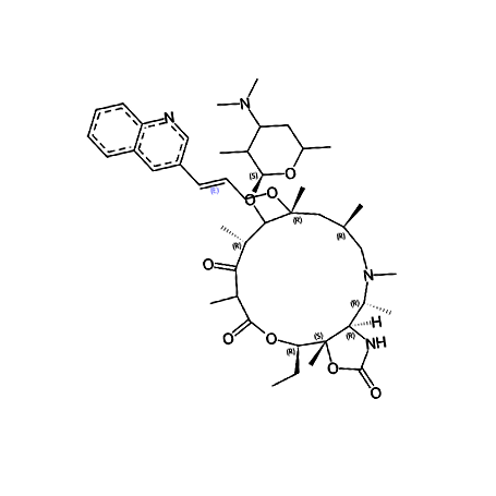 CC[C@H]1OC(=O)C(C)C(=O)[C@H](C)C(O[C@@H]2OC(C)CC(N(C)C)C2C)[C@](C)(OC/C=C/c2cnc3ccccc3c2)C[C@@H](C)CN(C)[C@H](C)[C@H]2NC(=O)O[C@@]21C